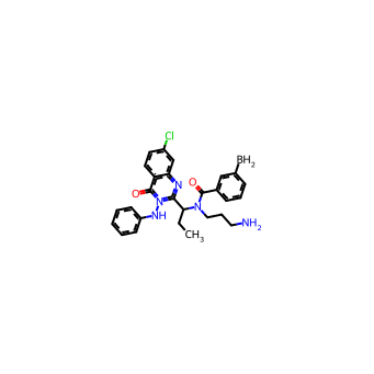 Bc1cccc(C(=O)N(CCCN)C(CC)c2nc3cc(Cl)ccc3c(=O)n2Nc2ccccc2)c1